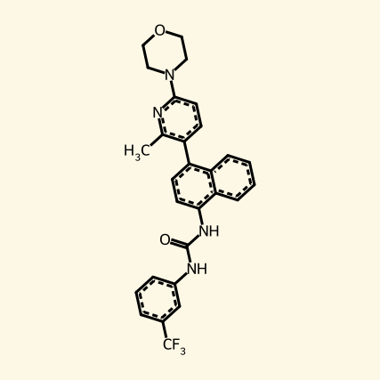 Cc1nc(N2CCOCC2)ccc1-c1ccc(NC(=O)Nc2cccc(C(F)(F)F)c2)c2ccccc12